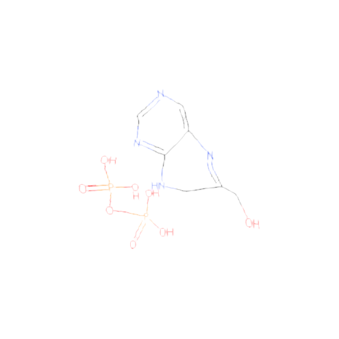 O=P(O)(O)OP(=O)(O)O.OCC1=Nc2cncnc2NC1